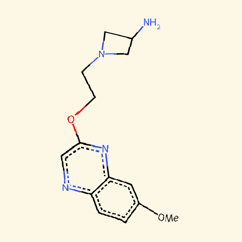 COc1ccc2ncc(OCCN3CC(N)C3)nc2c1